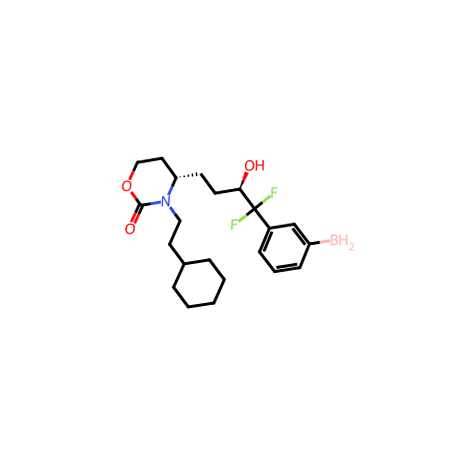 Bc1cccc(C(F)(F)[C@H](O)CC[C@H]2CCOC(=O)N2CCC2CCCCC2)c1